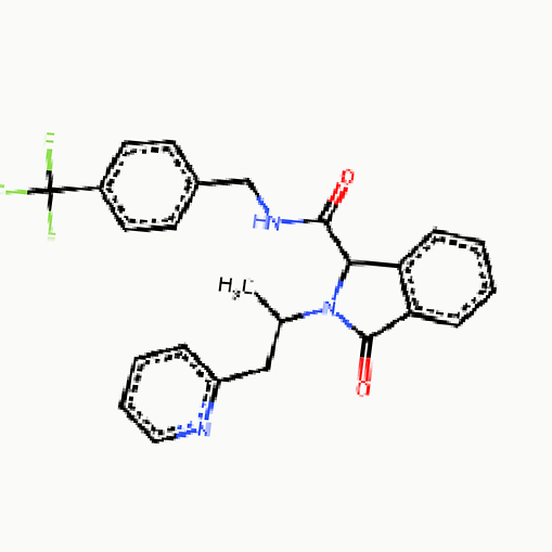 CC(Cc1ccccn1)N1C(=O)c2ccccc2C1C(=O)NCc1ccc(C(F)(F)F)cc1